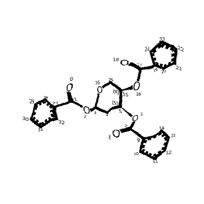 O=C(OC1C[C@H](OC(=O)c2ccccc2)[C@H](OC(=O)c2ccccc2)CO1)c1ccccc1